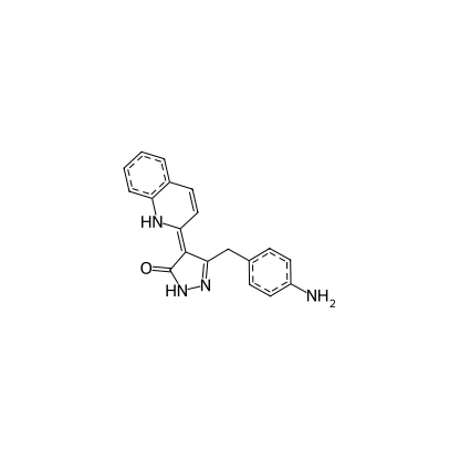 Nc1ccc(CC2=NNC(=O)/C2=C2/C=Cc3ccccc3N2)cc1